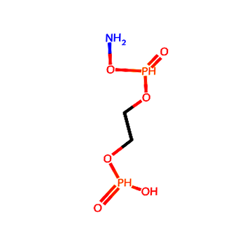 NO[PH](=O)OCCO[PH](=O)O